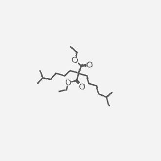 CCOC(=O)C(CCCCC(C)C)(CCCCC(C)C)C(=O)OCC